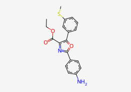 CCOC(=O)c1nc(-c2ccc(N)cc2)oc1-c1cccc(SC)c1